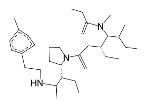 C=C(CC)N(C)C(C(C)CC)[C@H](CC)CC(=C)N1CCC[C@H]1C(CC)C(C)NCCc1ccc(C)cc1